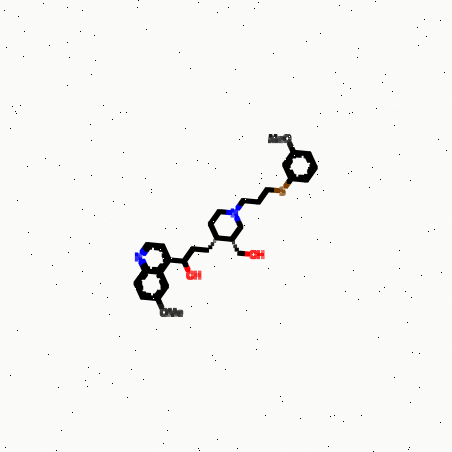 COc1cccc(SCCCN2CC[C@@H](CCC(O)c3ccnc4ccc(OC)cc34)[C@@H](CO)C2)c1